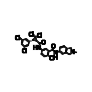 CN1Cc2ccc(NC(=O)c3cc(NC(=O)[C@H]4[C@H](c5cc(Cl)cc(Cl)c5)C4(Cl)Cl)ccc3Cl)cc2C1